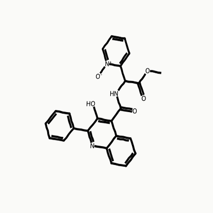 COC(=O)C(NC(=O)c1c(O)c(-c2ccccc2)nc2ccccc12)c1cccc[n+]1[O-]